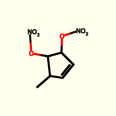 CC1C=CC(O[N+](=O)[O-])C1O[N+](=O)[O-]